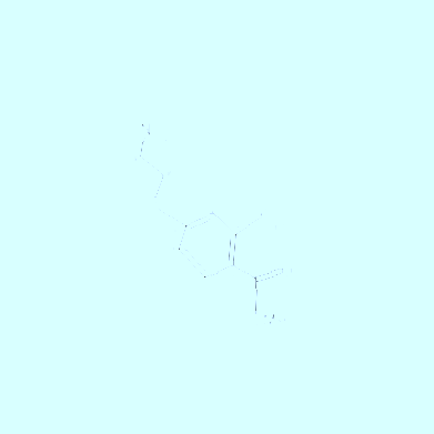 COC(=O)c1ccc(OCCN)cc1C(F)(F)F